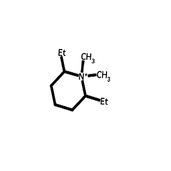 CCC1CCCC(CC)[N+]1(C)C